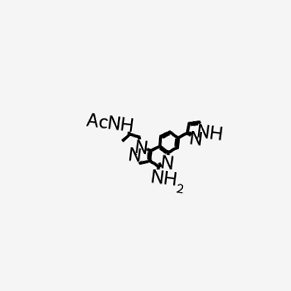 CC(=O)NC(C)Cn1ncc2c(N)nc3cc(-c4cc[nH]n4)ccc3c21